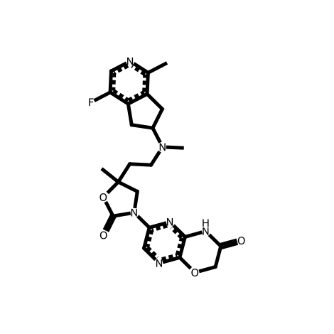 Cc1ncc(F)c2c1CC(N(C)CCC1(C)CN(c3cnc4c(n3)NC(=O)CO4)C(=O)O1)C2